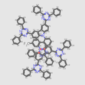 FC(F)(F)c1ccc(-c2c(-c3nc(-c4ccccc4)nc(-c4ccccc4)n3)cccc2-n2c3ccc(-c4nc(-c5ccccc5)nc(-c5ccccc5)n4)cc3c3cc(-c4nc(-c5ccccc5)nc(-c5ccccc5)n4)ccc32)c(-n2c3ccc(-c4nc(-c5ccccc5)nc(-c5ccccc5)n4)cc3c3cc(-c4nc(-c5ccccc5)nc(-c5ccccc5)n4)ccc32)c1